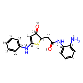 Nc1ccccc1NC(=O)CC1SC(Nc2ccccc2)=CC1=O